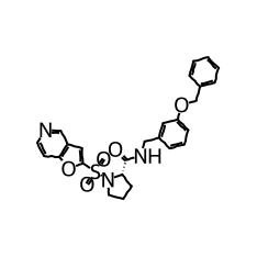 O=C(NCc1cccc(OCc2ccccc2)c1)[C@@H]1CCCN1S(=O)(=O)c1cc2cnccc2o1